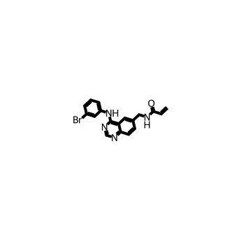 C=CC(=O)NCc1ccc2ncnc(Nc3cccc(Br)c3)c2c1